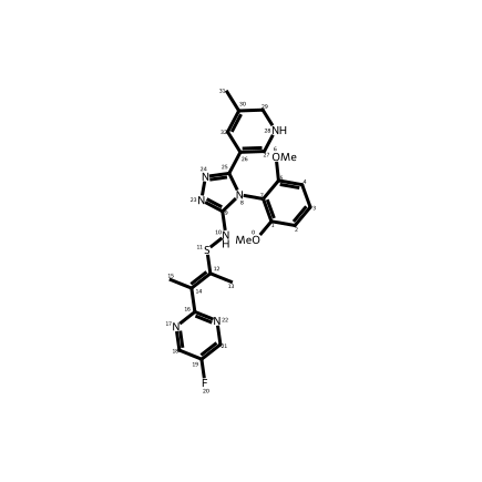 COc1cccc(OC)c1-n1c(NS/C(C)=C(\C)c2ncc(F)cn2)nnc1C1=CNCC(C)=C1